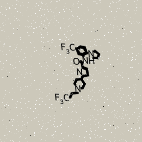 O=C(Nc1cc(C(F)(F)F)ccc1N1CCCC1)C1=CCC(C2CCN(CCCC(F)(F)F)CC2)=N1